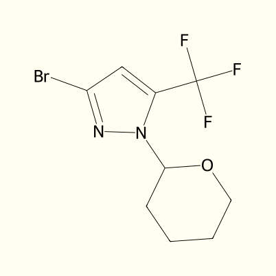 FC(F)(F)c1cc(Br)nn1C1CCCCO1